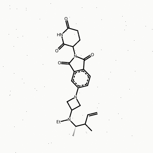 C=CC(C)[C@H](C)N(CC)C1CN(c2ccc3c(c2)C(=O)N(C2CCC(=O)NC2=O)C3=O)C1